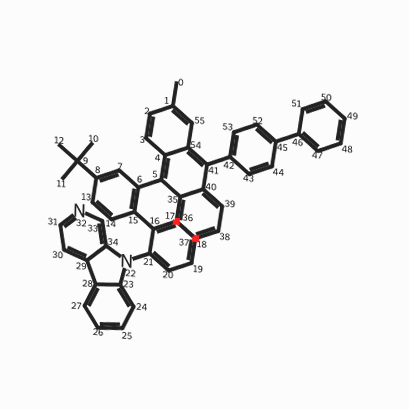 Cc1ccc2c(-c3cc(C(C)(C)C)ccc3-c3ccccc3-n3c4ccccc4c4ccncc43)c3ccccc3c(-c3ccc(-c4ccccc4)cc3)c2c1